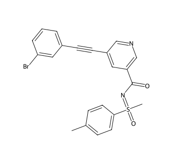 Cc1ccc(S(C)(=O)=NC(=O)c2cncc(C#Cc3cccc(Br)c3)c2)cc1